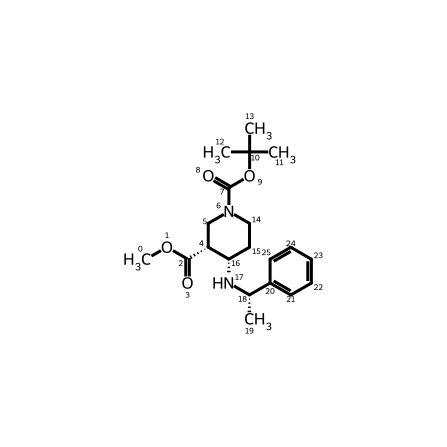 COC(=O)[C@@H]1CN(C(=O)OC(C)(C)C)CC[C@@H]1N[C@@H](C)c1ccccc1